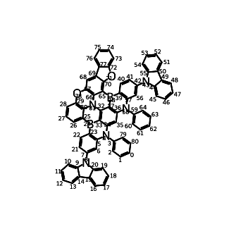 c1ccc(N2c3cc(-n4c5ccccc5c5ccccc54)ccc3B3c4cccc5c4N4c6c3c2cc2c6B(c3ccc(-n6c7ccccc7c7ccccc76)cc3N2c2ccccc2)c2c4c(cc3c2oc2ccccc23)O5)cc1